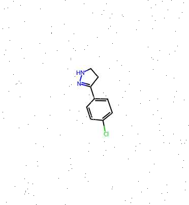 Clc1ccc(C2=NNCC2)cc1